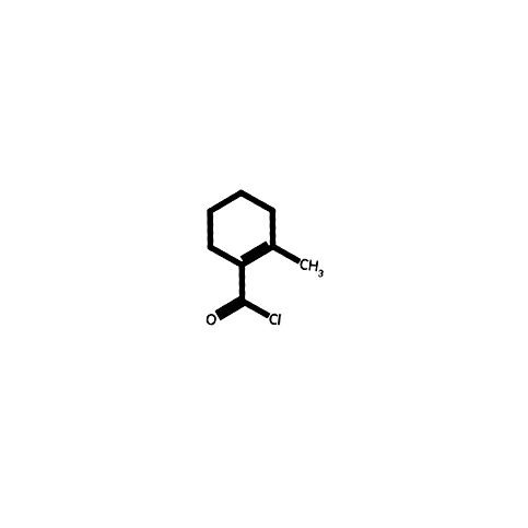 CC1=C(C(=O)Cl)CCCC1